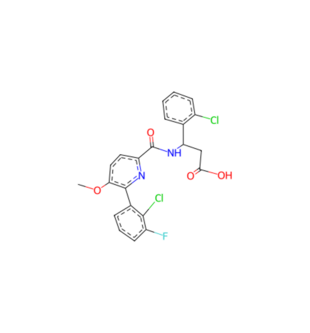 COc1ccc(C(=O)NC(CC(=O)O)c2ccccc2Cl)nc1-c1cccc(F)c1Cl